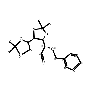 CC1(C)OCC([C@H]2OC(C)(C)O[C@@H]2[C@@H](C=O)OCc2ccccc2)O1